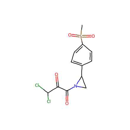 CS(=O)(=O)c1ccc(C2CN2C(=O)C(=O)C(Cl)Cl)cc1